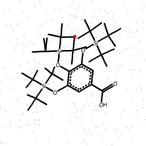 CC(C)(C)[Si](Oc1cc(C(=O)O)cc(O[Si](C(C)(C)C)(C(C)(C)C)C(C)(C)C)c1O[Si](C(C)(C)C)(C(C)(C)C)C(C)(C)C)(C(C)(C)C)C(C)(C)C